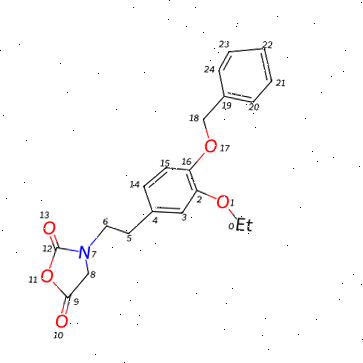 CCOc1cc(CCN2CC(=O)OC2=O)ccc1OCc1ccccc1